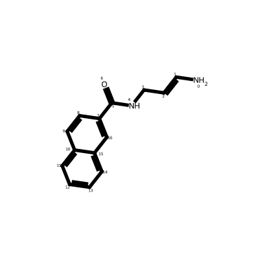 NC=CCNC(=O)c1ccc2ccccc2c1